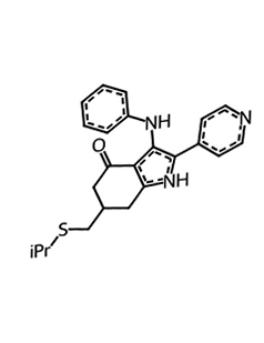 CC(C)SCC1CC(=O)c2c([nH]c(-c3ccncc3)c2Nc2ccccc2)C1